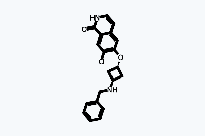 O=c1[nH]ccc2cc(O[C@H]3C[C@H](NCc4ccccc4)C3)c(Cl)cc12